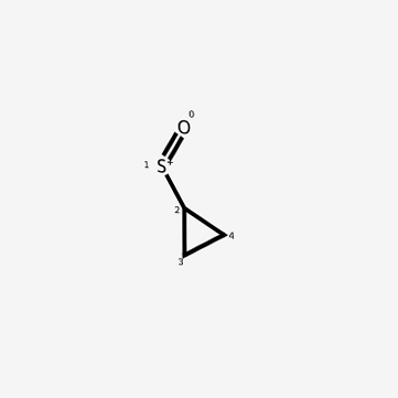 O=[S+]C1CC1